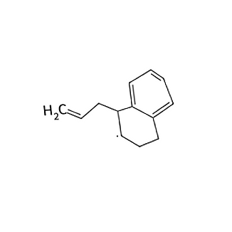 C=CCC1[CH]CCc2ccccc21